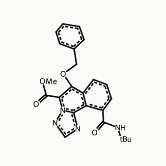 COC(=O)c1c(OCc2ccccc2)c2cccc(C(=O)NC(C)(C)C)c2c2ncnn12